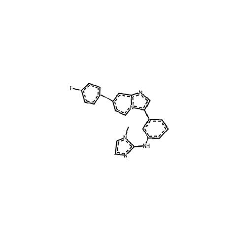 Cn1ccnc1Nc1cccc(-c2cnc3cc(-c4ccc(F)cc4)ccn23)c1